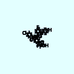 O=C(Nc1ccc(Cl)cn1)c1ccccc1NC(=O)c1ccc(F)cc1OC1CCNCC1.O=C(O)C(F)(F)F